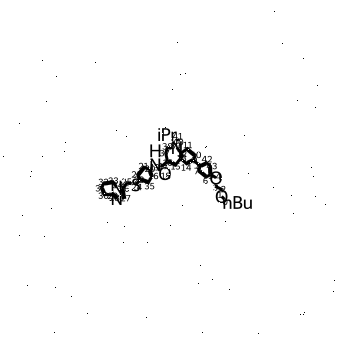 CCCCOCCOc1ccc(-c2ccc3c(c2)C=C(C(=O)Nc2ccc(SCc4cnc5ccccn45)cc2)CCN3CC(C)C)cc1